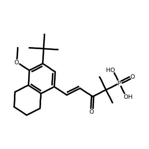 COc1c(C(C)(C)C)cc(C=CC(=O)C(C)(C)P(=O)(O)O)c2c1CCCC2